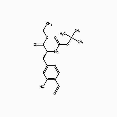 CCOC(=O)[C@H](Cc1ccc(C=O)c(O)c1)NC(=O)OC(C)(C)C